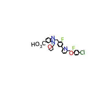 O=C(O)c1ccc2nc(Cc3ccc(-c4cccc(COc5ccc(Cl)cc5F)n4)cc3F)n(CC3CCCO3)c2c1